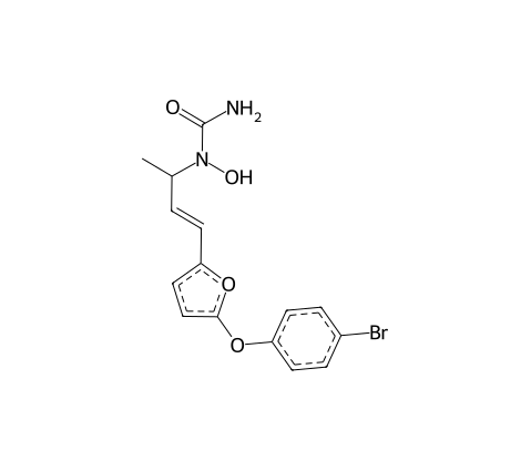 CC(/C=C/c1ccc(Oc2ccc(Br)cc2)o1)N(O)C(N)=O